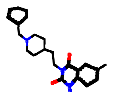 Cc1ccc2[nH]c(=O)n(CCC3CCN(Cc4ccccc4)CC3)c(=O)c2c1